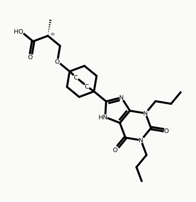 CCCn1c(=O)c2[nH]c(C34CCC(OC[C@@H](C)C(=O)O)(CC3)CC4)nc2n(CCC)c1=O